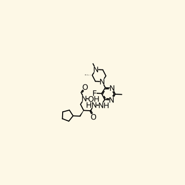 Cc1nc(NNC(=O)[C@@H](CC2CCCC2)CN(O)C=O)c(F)c(N2CCN(C)[C@@H](C)C2)n1